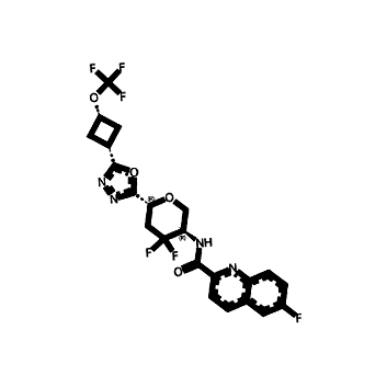 O=C(N[C@@H]1CO[C@@H](c2nnc([C@H]3C[C@@H](OC(F)(F)F)C3)o2)CC1(F)F)c1ccc2cc(F)ccc2n1